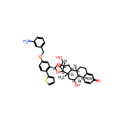 C[C@]12C=CC(=O)C=C1CC[C@@H]1[C@@H]2[C@@H](O)C[C@@]2(C)[C@H]1C[C@H]1O[C@H](c3cc(OCc4cccc(N)c4)ccc3-c3cccs3)O[C@]12C(=O)CO